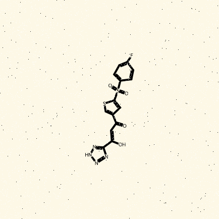 O=C(C=C(O)c1nn[nH]n1)c1csc(S(=O)(=O)c2ccc(F)cc2)c1